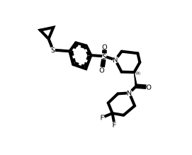 O=C([C@@H]1CCCN(S(=O)(=O)c2ccc(SC3CC3)cc2)C1)N1CCC(F)(F)CC1